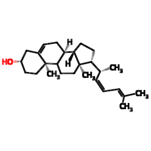 CC(C)=C/C=C\[C@@H](C)[C@H]1CC[C@H]2[C@@H]3CC=C4C[C@@H](O)CC[C@]4(C)C3CC[C@]12C